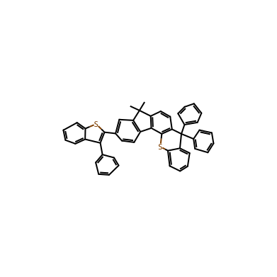 CC1(C)c2cc(-c3sc4ccccc4c3-c3ccccc3)ccc2-c2c1ccc1c2Sc2ccccc2C1(c1ccccc1)c1ccccc1